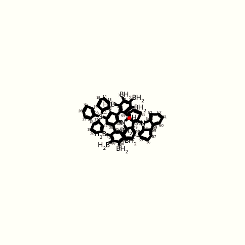 Bc1c(B)c(B)c(-c2cc(S(c3ccccc3)(c3ccccc3)c3ccccc3)cc(-c3c(B)c(B)c(B)c(B)c3B)c2-n2c3ccccc3c3c(-n4c5ccccc5c5ccccc54)cccc32)c(B)c1B